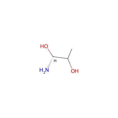 CC(O)[C@H](N)O